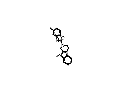 Cc1ccc2oc(N3CCc4c(n(C)c5ccccc45)C3)nc2c1